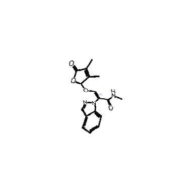 CNC(=O)/C(=C/OC1OC(=O)C(C)=C1C)n1ncc2ccccc21